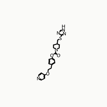 O=C(Oc1ccc(CCOc2ccncc2)cc1)N1CCC(CSc2nc[nH]n2)CC1